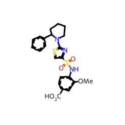 COc1cc(C(=O)O)ccc1NS(=O)(=O)c1csc(N2CCCCC2c2ccccc2)n1